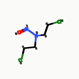 O=NN(CCCl)CCCl